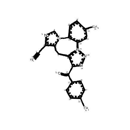 C#Cc1ncn2c1Cc1c(C(=O)c3ccc(C)cc3)nnn1-c1cc(C)ccc1-2